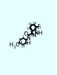 CN1CCC(NC(=O)c2n[nH]c3c(F)cccc23)CC1